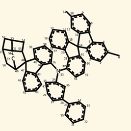 Cc1ccc2c(c1)-c1ccc(C)cc1C21c2ccccc2-c2c(N(c3cccc(-c4ccccc4)c3)c3cccc4c3-c3ccccc3C43C4CC5CC6CC3[C@@]56C4)cccc21